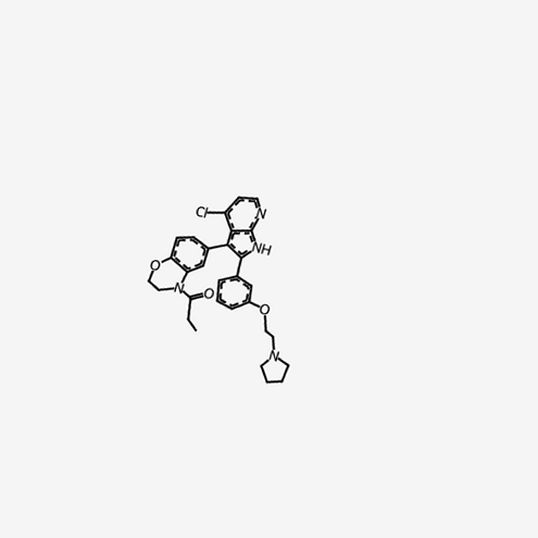 CCC(=O)N1CCOc2ccc(-c3c(-c4cccc(OCCN5CCCC5)c4)[nH]c4nccc(Cl)c34)cc21